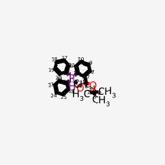 CC(C)(C)OC(=O)c1ccccc1[PH](C)(c1ccccc1)c1ccccc1